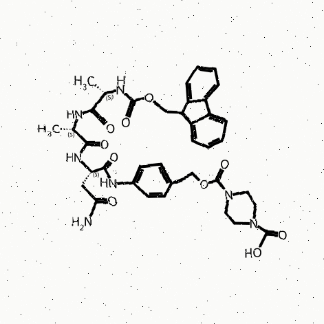 C[C@H](NC(=O)OCC1c2ccccc2-c2ccccc21)C(=O)N[C@@H](C)C(=O)N[C@@H](CC(N)=O)C(=O)Nc1ccc(COC(=O)N2CCN(C(=O)O)CC2)cc1